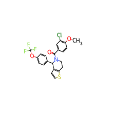 COc1ccc(C(=O)N2CCc3sccc3C2c2ccc(OC(F)(F)F)cc2)cc1Cl